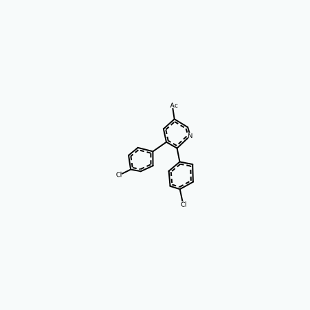 CC(=O)c1cnc(-c2ccc(Cl)cc2)c(-c2ccc(Cl)cc2)c1